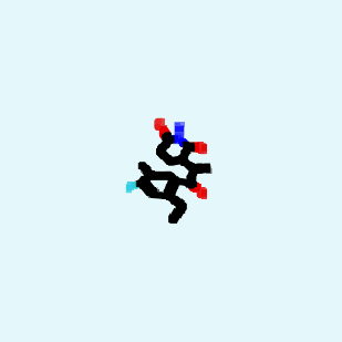 C=C(C(=O)c1cc(C)c(F)cc1CC)C1CCC(=O)NC1=O